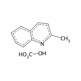 Cc1ccc2ccccc2n1.O=C(O)O